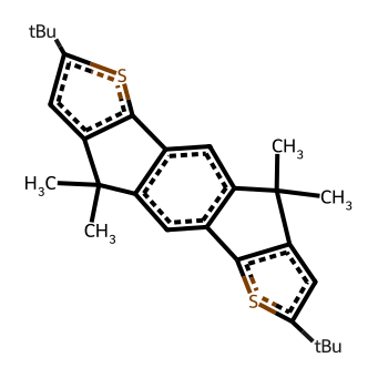 CC(C)(C)c1cc2c(s1)-c1cc3c(cc1C2(C)C)-c1sc(C(C)(C)C)cc1C3(C)C